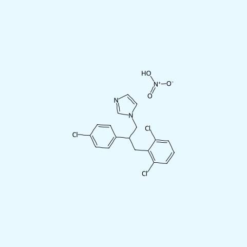 Clc1ccc(C(Cc2c(Cl)cccc2Cl)Cn2ccnc2)cc1.O=[N+]([O-])O